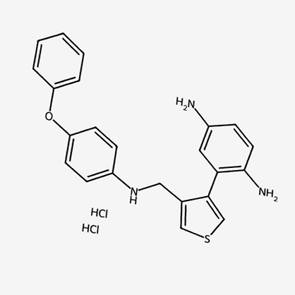 Cl.Cl.Nc1ccc(N)c(-c2cscc2CNc2ccc(Oc3ccccc3)cc2)c1